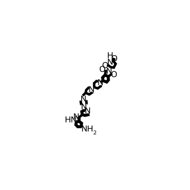 Nc1ccc2[nH]nc(-c3ccnc(N4CCN(CC5CCN(C6CCN(c7ccc8c(c7)C(=O)N(C7CCC(=O)NC7=O)C8=O)CC6)CC5)CC4)c3)c2c1